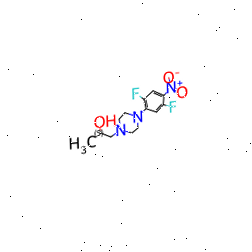 C[C@H](O)CN1CCN(c2cc(F)c([N+](=O)[O-])cc2F)CC1